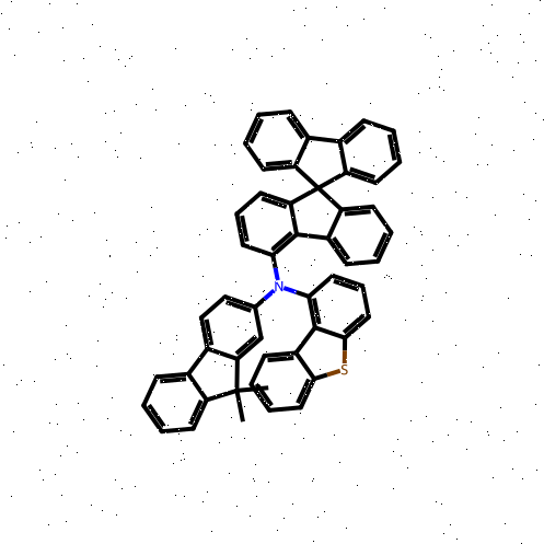 CC1(C)c2ccccc2-c2ccc(N(c3cccc4c3-c3ccccc3C43c4ccccc4-c4ccccc43)c3cccc4sc5ccccc5c34)cc21